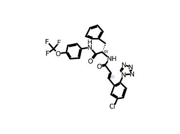 O=C(/C=C/c1cc(Cl)ccc1-n1cnnn1)N[C@@H](Cc1ccccc1)C(=O)Nc1ccc(OC(F)(F)F)cc1